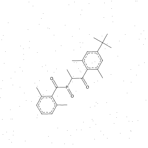 Cc1cc(C(C)(C)C)cc(C)c1C(=O)C(C)[P](=O)C(=O)c1c(C)cccc1C